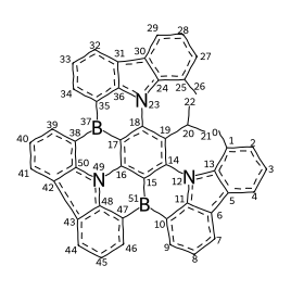 Cc1cccc2c3cccc4c3n(c12)-c1c2c3c5c(c1C(C)C)-n1c6c(C)cccc6c6cccc(c61)B5c1cccc5c6cccc(c6n-3c15)B24